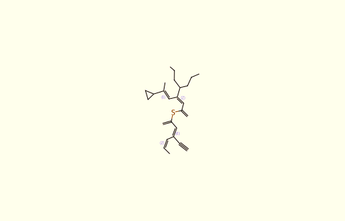 C#CC(/C=C\C)=C/C(=C)SC(=C)/C=C(\C=C(/C)C1CC1)C(CCC)CCC